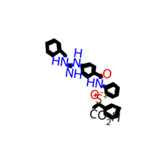 N=C(NCc1ccccc1)Nc1ccc(C(=O)Nc2ccccc2[S+]([O-])C(CC(=O)O)c2ccccc2)cc1